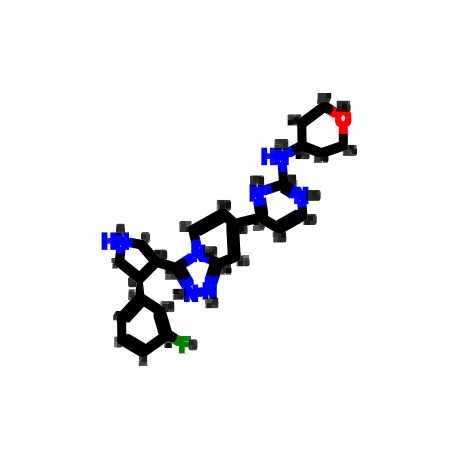 Fc1cccc([C@H]2CNCC2c2nnc3cc(-c4ccnc(NC5CCOCC5)n4)ccn23)c1